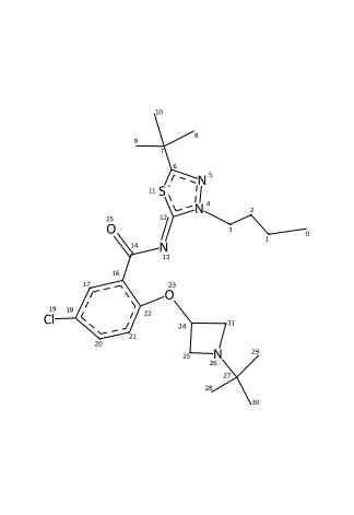 CCCCn1nc(C(C)(C)C)s/c1=N\C(=O)c1cc(Cl)ccc1OC1CN(C(C)(C)C)C1